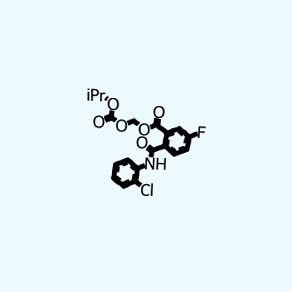 CC(C)OC(=O)OCOC(=O)c1cc(F)ccc1C(=O)Nc1ccccc1Cl